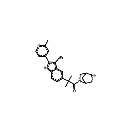 Cc1cc(-c2[nH]c3ccc(C(C)(C)C(=O)N4CC5CC4CN5)cc3c2C(C)C)ccn1